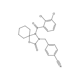 N#Cc1ccc(CN2C(=O)OC3(CCCCC3)N2C(=O)c2cccc(Cl)c2Cl)cc1